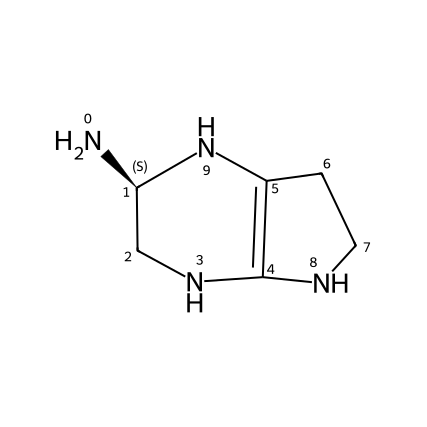 N[C@@H]1CNC2=C(CCN2)N1